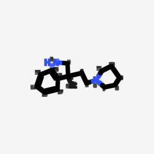 CCC(CN)(CCN1CCCCC1)c1ccccc1